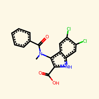 CN(C(=O)c1ccccc1)c1c(C(=O)O)[nH]c2cc(Cl)c(Cl)cc12